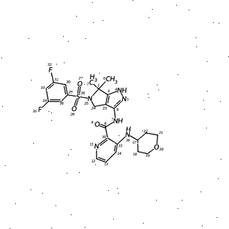 CC1(C)c2[nH]nc(NC(=O)c3ncccc3NC3CCOCC3)c2CN1S(=O)(=O)c1cc(F)cc(F)c1